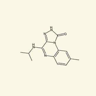 Cc1ccc2nc(NC(C)C)c3n[nH]c(=O)n3c2c1